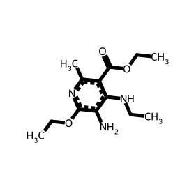 CCNc1c(N)c(OCC)nc(C)c1C(=O)OCC